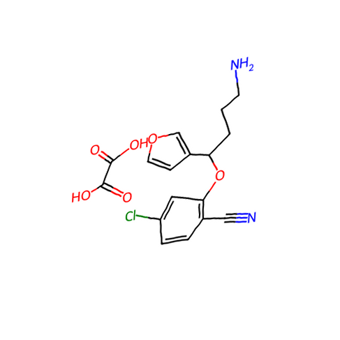 N#Cc1ccc(Cl)cc1OC(CCCN)c1ccoc1.O=C(O)C(=O)O